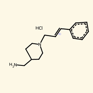 Cl.NCC1CCN(C/C=C/c2ccccc2)CC1